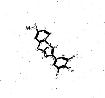 COc1ccc2c(c1)sc1nc(-c3cc(F)c(F)c(F)c3)cn12